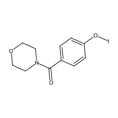 O=C(c1ccc(OI)cc1)N1CCOCC1